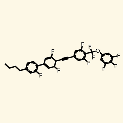 CCCCc1ccc(C2=CC(F)C(C#Cc3cc(F)c(C(F)(F)Oc4cc(F)c(F)c(F)c4)c(F)c3)C(F)=C2)c(F)c1